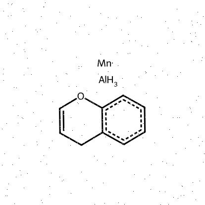 C1=COc2ccccc2C1.[AlH3].[Mn]